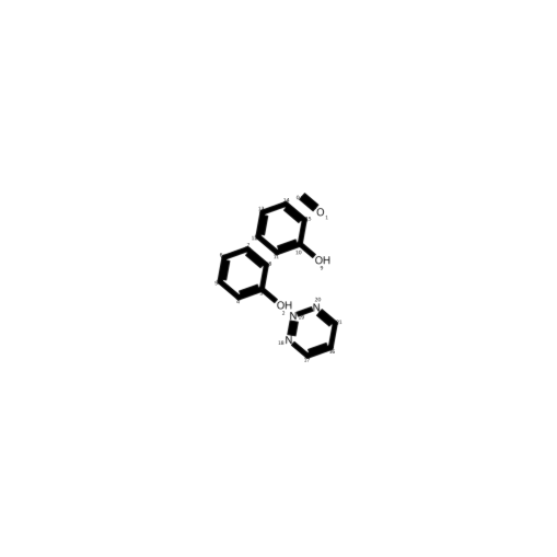 C=O.Oc1ccccc1.Oc1ccccc1.c1cnnnc1